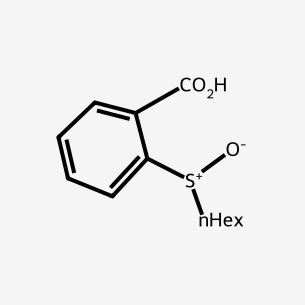 CCCCCC[S+]([O-])c1ccccc1C(=O)O